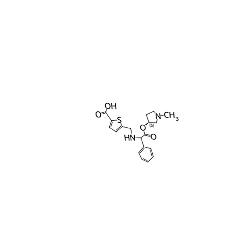 CN1CC[C@H](OC(=O)C(NCc2ccc(C(=O)O)s2)c2ccccc2)C1